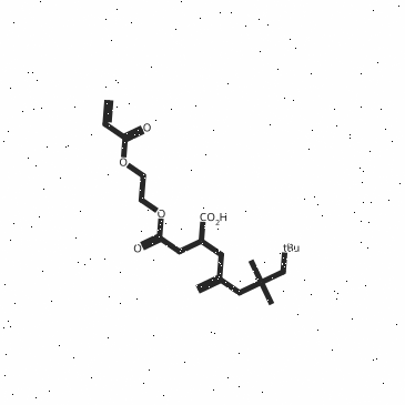 C=CC(=O)OCCOC(=O)CC(CC(=C)CC(C)(C)CC(C)(C)C)C(=O)O